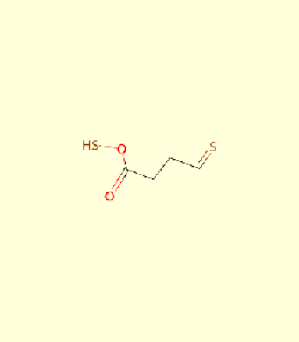 O=C(CCC=S)OS